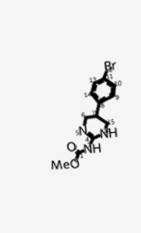 COC(=O)NC1=NCC(c2ccc(Br)cc2)CN1